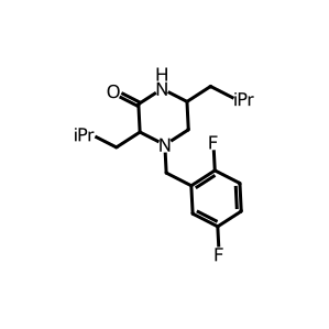 CC(C)CC1CN(Cc2cc(F)ccc2F)C(CC(C)C)C(=O)N1